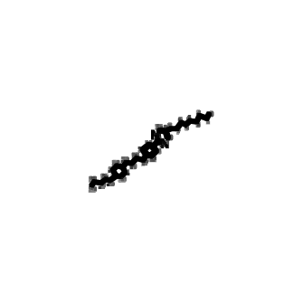 CCCCCCCCCc1cnc(-c2ccc(CCCCC3CCC(CCCCC)CC3)cc2)nc1